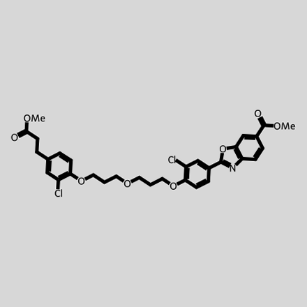 COC(=O)CCc1ccc(OCCCOCCCOc2ccc(-c3nc4ccc(C(=O)OC)cc4o3)cc2Cl)c(Cl)c1